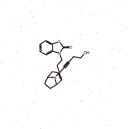 O=c1sc2ccccc2n1CCCN1C2C=C(C#CCCO)CC1CC2